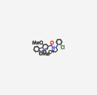 COc1ccccc1-c1ncc(C(=O)N2C(c3ccccc3Cl)CC[C@H]2C(=O)O)cc1OC